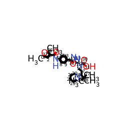 Cc1cc(C(=O)Nc2ccc(-c3nnc(N(CCC(N4CCCCC4)C(C)(C)C)C(=O)O)o3)cc2)c(C)o1